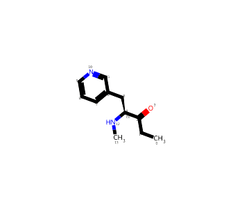 CCC(=O)[C@H](Cc1cccnc1)NC